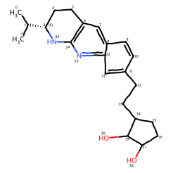 CC(C)[C@@H]1CCc2cc3ccc(CCC4CCC(O)C4O)cc3nc2N1